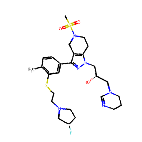 CS(=O)(=O)N1CCc2c(c(-c3ccc(C(F)(F)F)c(SCCN4CC[C@H](F)C4)c3)nn2C[C@@H](O)CN2C=NCCC2)C1